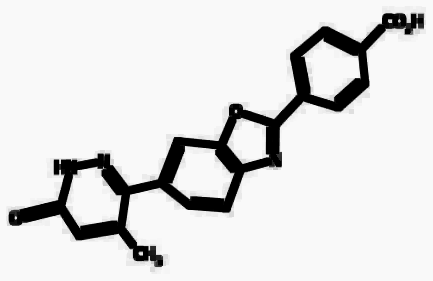 Cc1cc(=O)[nH]nc1-c1ccc2nc(-c3ccc(C(=O)O)cc3)oc2c1